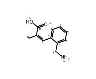 CC(=Cc1ccccc1SN)C(=O)O